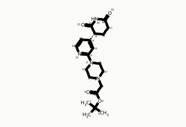 CC(C)(C)OC(=O)CN1CCN(c2cc([C@H]3CCC(=O)NC3=O)ccn2)CC1